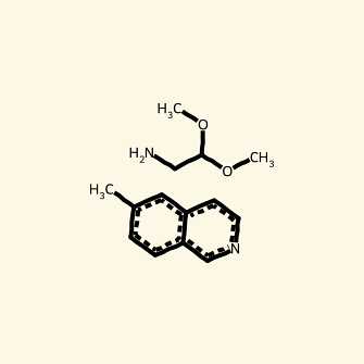 COC(CN)OC.Cc1ccc2cnccc2c1